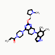 C=CC(=O)N1CCN(c2nc(OC[C@@H]3CCCN3C)nc3c2CCN(c2c(C)c(C)cc4[nH]ccc24)C3)CC1